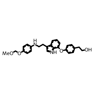 COCOc1ccc(NCCc2c[nH]c3c(Oc4ccc(CCO)cc4)cccc23)cc1